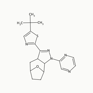 CC(C)(C)c1cnc(C2=NN(c3cnccn3)C3C4CCC(CC23)O4)s1